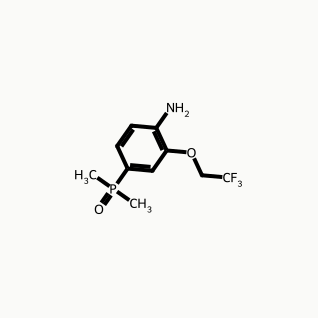 CP(C)(=O)c1ccc(N)c(OCC(F)(F)F)c1